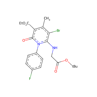 CCOC(=O)c1c(C)c(Br)c(NCC(=O)OC(C)(C)C)n(-c2ccc(F)cc2)c1=O